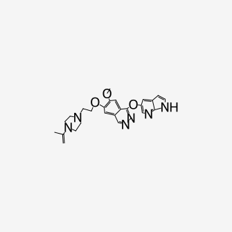 C=C(C)N1CCN(CCOc2cc3cnnc(Oc4cnc5[nH]ccc5c4)c3cc2OC)CC1